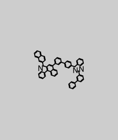 c1ccc(-c2cccc(-c3nc(-c4ccc(-c5cccc(-c6cc7c(-c8ccc9ccccc9c8)nc8ccccc8c7c7ccccc67)c5)cc4)c4ccccc4n3)c2)cc1